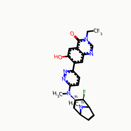 CN1C2CCC1[C@H](F)[C@H](N(C)c1ccc(-c3cc4ncn(CC(F)(F)F)c(=O)c4cc3O)nn1)C2